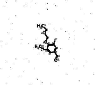 CCOCOc1c(I)cc(C=O)cc1OC